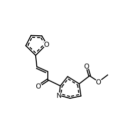 COC(=O)c1ccnc(C(=O)C=Cc2ccco2)c1